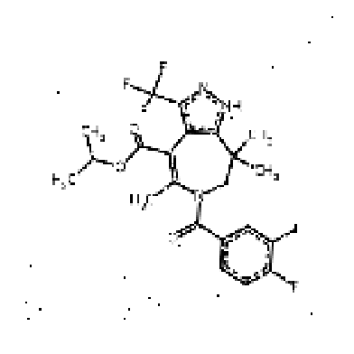 CC1=C(C(=O)OC(C)C)c2c(C(F)(F)F)n[nH]c2C(C)(C)CN1C(=O)c1ccc(F)c(F)c1